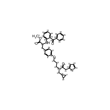 COC(=O)C(Cc1ccc(OCCCN(CC2CC2)C(=O)Cc2cccs2)cc1)Nc1ccccc1C(=O)c1ccccc1